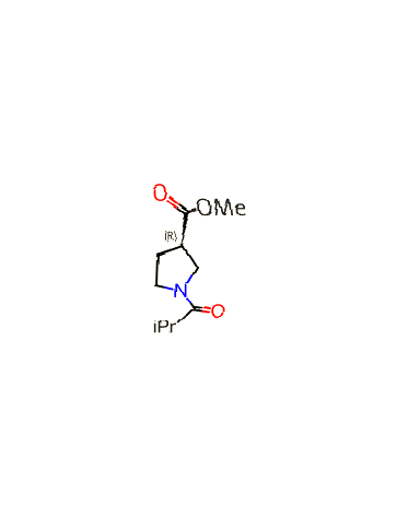 COC(=O)[C@@H]1CCN(C(=O)C(C)C)C1